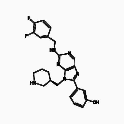 Oc1cccc(-c2nc3cnc(NCc4ccc(F)c(F)c4)nc3n2C[C@@H]2CCCNC2)c1